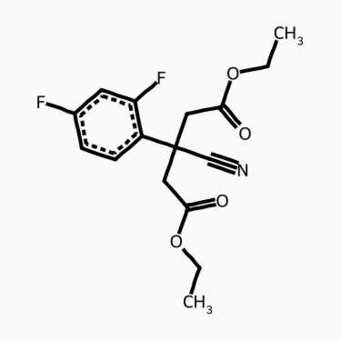 CCOC(=O)CC(C#N)(CC(=O)OCC)c1ccc(F)cc1F